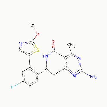 COc1ncc(-c2cc(F)ccc2C2Cc3nc(N)nc(C)c3C(=O)N2)s1